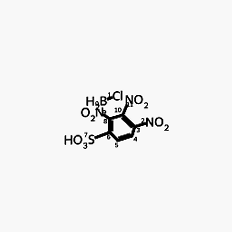 BCl.O=[N+]([O-])c1ccc(S(=O)(=O)O)c([N+](=O)[O-])c1[N+](=O)[O-]